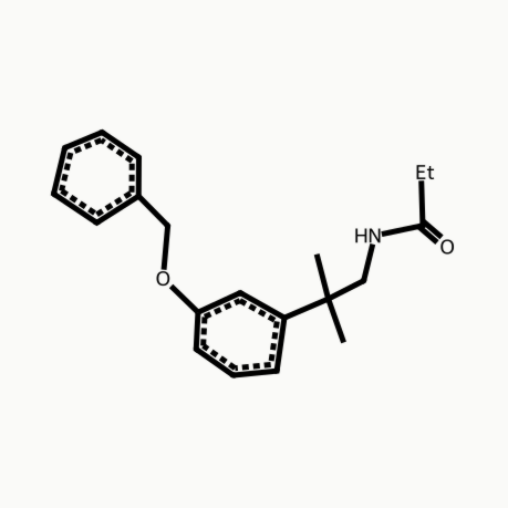 CCC(=O)NCC(C)(C)c1cccc(OCc2ccccc2)c1